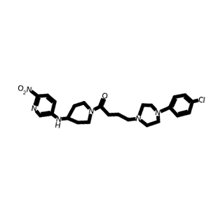 O=C(CCCN1CCN(c2ccc(Cl)cc2)CC1)N1CCC(Nc2ccc([N+](=O)[O-])nc2)CC1